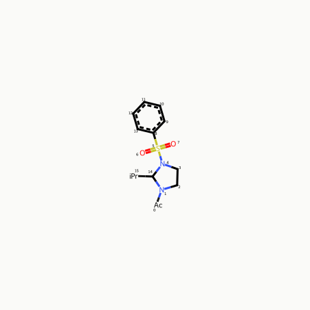 CC(=O)N1CCN(S(=O)(=O)c2ccccc2)C1C(C)C